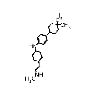 CNCCC1CCC(Nc2ccc(C3CCC(C)(C)CC3)cc2)CC1